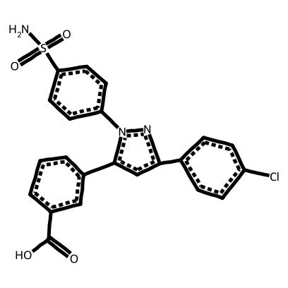 NS(=O)(=O)c1ccc(-n2nc(-c3ccc(Cl)cc3)cc2-c2cccc(C(=O)O)c2)cc1